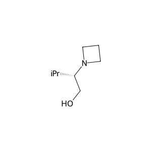 CC(C)[C@@H](CO)N1CCC1